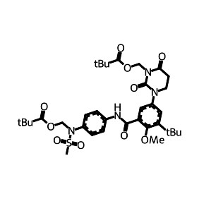 COc1c(C(=O)Nc2ccc(N(COC(=O)C(C)(C)C)S(C)(=O)=O)cc2)cc(N2CCC(=O)N(COC(=O)C(C)(C)C)C2=O)cc1C(C)(C)C